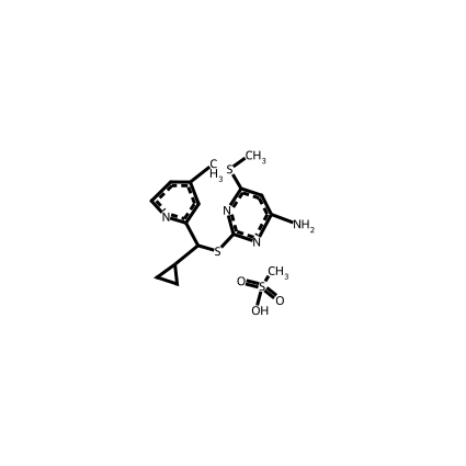 CS(=O)(=O)O.CSc1cc(N)nc(SC(c2cc(C)ccn2)C2CC2)n1